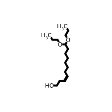 CCCOC(CCCCCC/C=C\CCO)OCCC